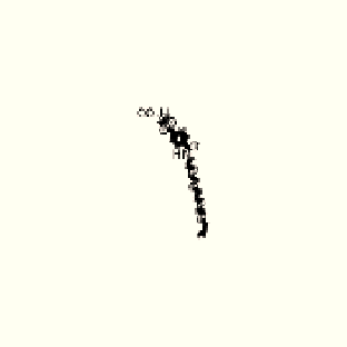 C#CCOCCOCCOCCOCCNC(=O)c1ccc(C2OCC(C(=O)O)O2)cc1